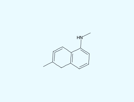 CNc1cccc2c1C=C=C(C)C2